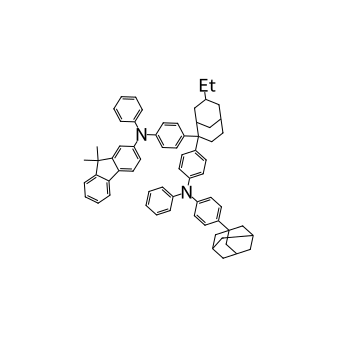 CCC1CC2CCC(c3ccc(N(c4ccccc4)c4ccc(C56CC7CC(CC(C7)C5)C6)cc4)cc3)(c3ccc(N(c4ccccc4)c4ccc5c(c4)C(C)(C)c4ccccc4-5)cc3)C(C1)C2